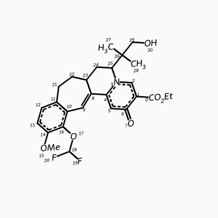 CCOC(=O)c1cn2c(cc1=O)C1=Cc3c(ccc(OC)c3OC(F)F)CCC1CC2C(C)(C)CO